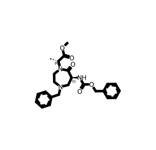 COC(=O)[C@@H](C)N1CCN(Cc2ccccc2)C[C@H](NC(=O)OCc2ccccc2)C1=O